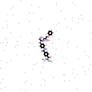 CN(C)C(=O)c1ccc(C(=O)Nc2ccc(C[C@@H](CO)NC[C@H](O)COc3ccccc3)cc2)cc1